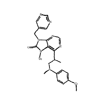 COc1ccc(N(C)CC(C)c2ncnc3c2n(S)c(=O)n3Cc2cncnc2)cc1